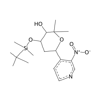 CC1(C)OC(c2ccncc2[N+](=O)[O-])CC(O[Si](C)(C)C(C)(C)C)C1O